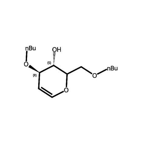 CCCCOCC1OC=C[C@@H](OCCCC)[C@@H]1O